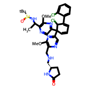 COc1nc(C2(c3cnc(C(C)N[S@+]([O-])C(C)(C)C)c(OC)n3)C=CC=C(c3ccccc3Cl)C2Cl)cnc1CNC[C@@H]1CCC(=O)N1